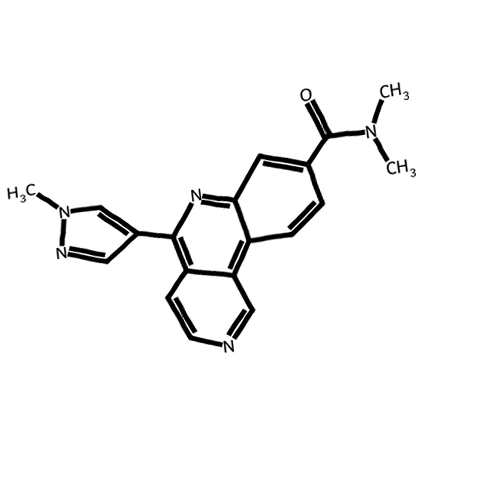 CN(C)C(=O)c1ccc2c(c1)nc(-c1cnn(C)c1)c1ccncc12